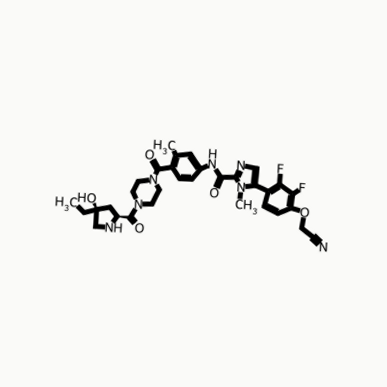 CC[C@@]1(O)CN[C@H](C(=O)N2CCN(C(=O)c3ccc(NC(=O)c4ncc(-c5ccc(OCC#N)c(F)c5F)n4C)cc3C)CC2)C1